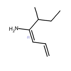 C=C/C=C(/N)C(C)CC